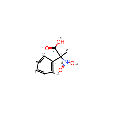 CC(C(=O)O)(c1ccccc1)[N+](=O)[O-]